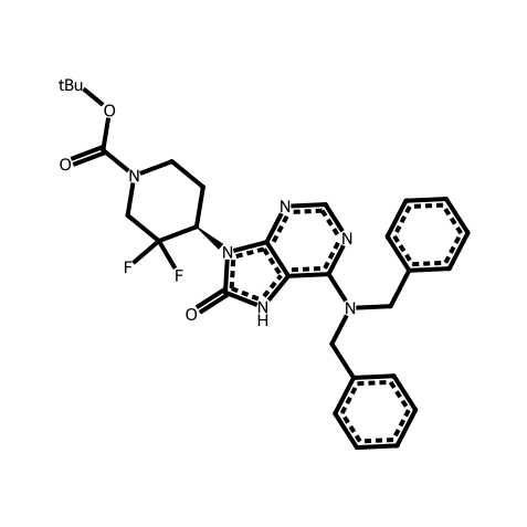 CC(C)(C)OC(=O)N1CC[C@@H](n2c(=O)[nH]c3c(N(Cc4ccccc4)Cc4ccccc4)ncnc32)C(F)(F)C1